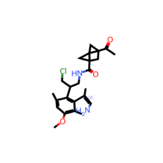 COc1cc(C)c(C(CCl)CNC(=O)C23CC4(C(C)=O)CC42C3)c(/C(C)=C\N)c1C